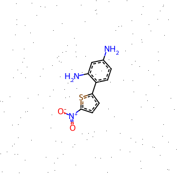 Nc1ccc(-c2ccc([N+](=O)[O-])s2)c(N)c1